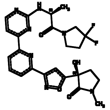 C[C@H](Nc1nccc(-c2cccc(-c3cc([C@]4(O)CCN(C)C4=O)on3)n2)n1)C(=O)N1CCC(F)(F)C1